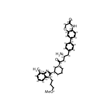 COCCCn1c([C@@H]2CCCN(C(=O)C[C@H](N)Cc3ccc(-c4ccc5c(c4)OCC(=O)N5)cc3)C2)nc2c(C)cccc21